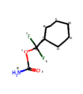 NC(=O)OC(F)(F)C1CCCCC1